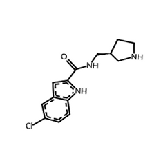 O=C(NC[C@H]1CCNC1)c1cc2cc(Cl)ccc2[nH]1